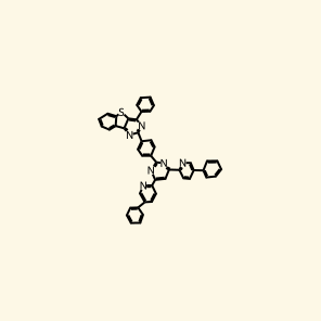 c1ccc(-c2ccc(-c3cc(-c4ccc(-c5ccccc5)cn4)nc(-c4ccc(-c5nc(-c6ccccc6)c6sc7ccccc7c6n5)cc4)n3)nc2)cc1